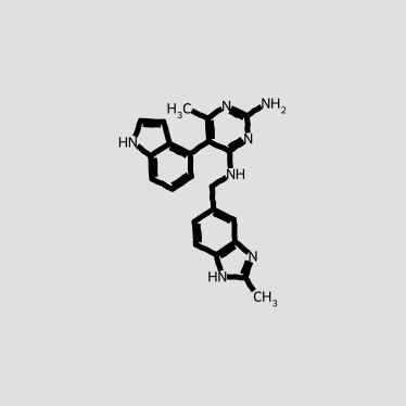 Cc1nc2cc(CNc3nc(N)nc(C)c3-c3cccc4[nH]ccc34)ccc2[nH]1